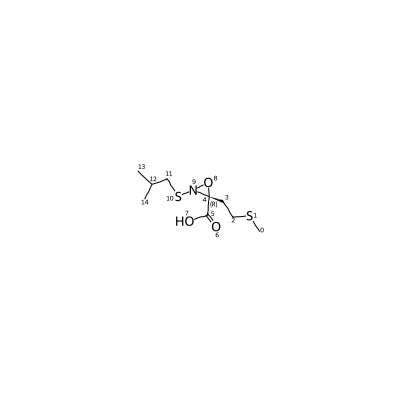 CSCC[C@]1(C(=O)O)ON1SCC(C)C